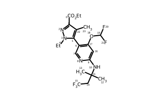 CCOC(=O)c1nn(CC)c(-c2cnc(NC(C)(C)CC(F)(F)F)cc2OC(F)F)c1C